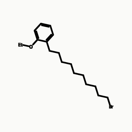 CCOc1ccccc1CCCCCCCCCCBr